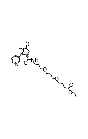 CCOC(=O)CCCOCCCOCCCNC(=O)[C@H]1CC(=O)N(C)[C@@H]1c1cccnc1